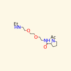 CCNCCOCCOCCNC(=O)C1CCCN1C(C)=O